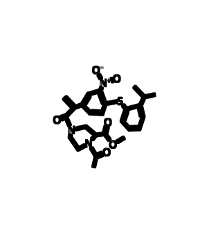 C=C(C(=O)N1CCN(C(C)=O)C(C(=O)OC)C1)c1ccc(Sc2ccccc2C(C)C)c([N+](=O)[O-])c1